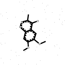 COc1cc2nnc(C)c(Cl)c2cc1OC